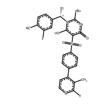 CCCCc1nc(=O)c(S(=O)(=O)c2ccc(-c3ccnc(F)c3C)cc2)c(O)n1[C@@H](CC)c1ccc(C#N)c(F)c1